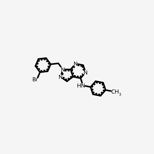 Cc1ccc(Nc2ncnc3c2cnn3Cc2cccc(Br)c2)cc1